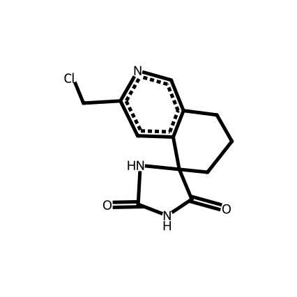 O=C1NC(=O)C2(CCCc3cnc(CCl)cc32)N1